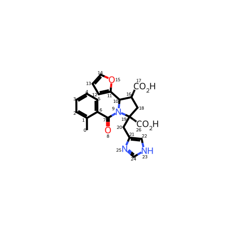 Cc1ccccc1C(=O)N1C(c2ccco2)C(C(=O)O)CC1(Cc1c[nH]cn1)C(=O)O